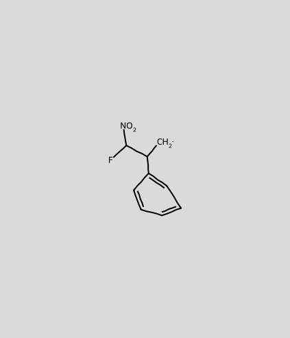 [CH2]C(c1ccccc1)C(F)[N+](=O)[O-]